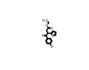 CCOC(=O)CC(C(=O)c1ccc(Cl)cc1)c1cccs1